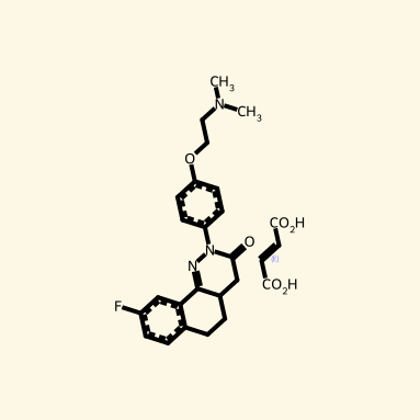 CN(C)CCOc1ccc(N2N=C3c4cc(F)ccc4CCC3CC2=O)cc1.O=C(O)/C=C/C(=O)O